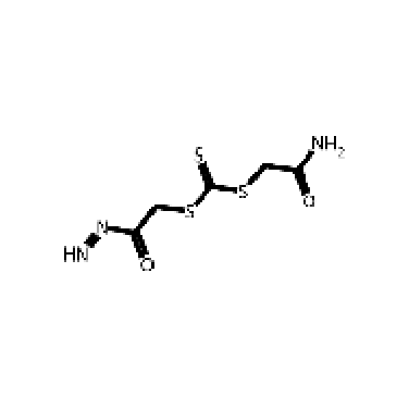 N=NC(=O)CSC(=S)SCC(N)=O